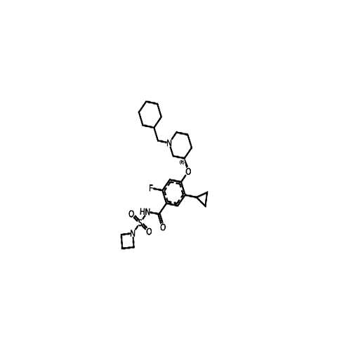 O=C(NS(=O)(=O)N1CCC1)c1cc(C2CC2)c(O[C@@H]2CCCN(CC3CCCCC3)C2)cc1F